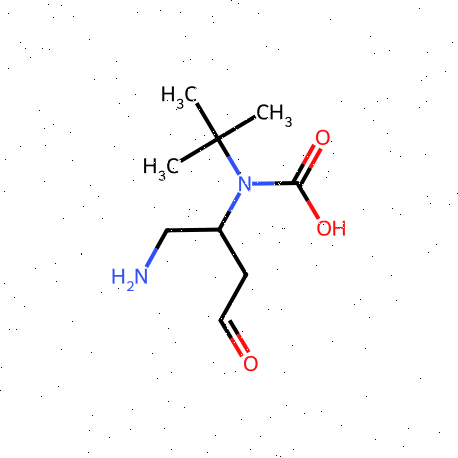 CC(C)(C)N(C(=O)O)C(CN)CC=O